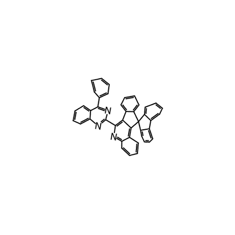 c1ccc(-c2nc(-c3nc4ccccc4c4c3-c3ccccc3C43c4ccccc4-c4ccccc43)nc3ccccc23)cc1